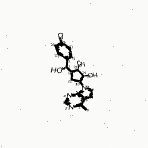 Cc1ncnc2c1ccn2C1CC([C@@H](O)c2ccc(Cl)cc2)[C@@H](O)[C@H]1O